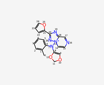 Cc1ccccc1N(C1=COCO1)[N+]12C=CN=CC1=NC(c1ccco1)=N2